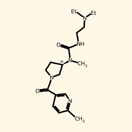 CCN(CC)CCNC(=O)N(C)[C@@H]1CCN(C(=O)c2ccc(C)nc2)C1